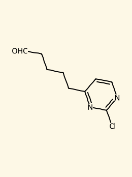 O=CCCCCc1ccnc(Cl)n1